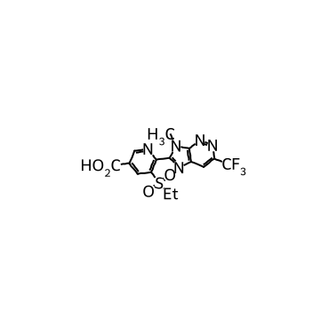 CCS(=O)(=O)c1cc(C(=O)O)cnc1-c1nc2cc(C(F)(F)F)nnc2n1C